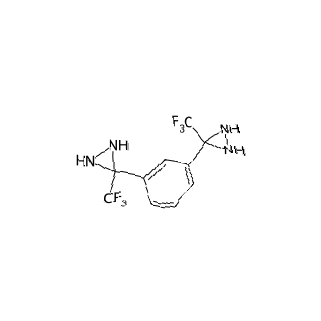 FC(F)(F)C1(c2cccc(C3(C(F)(F)F)NN3)c2)NN1